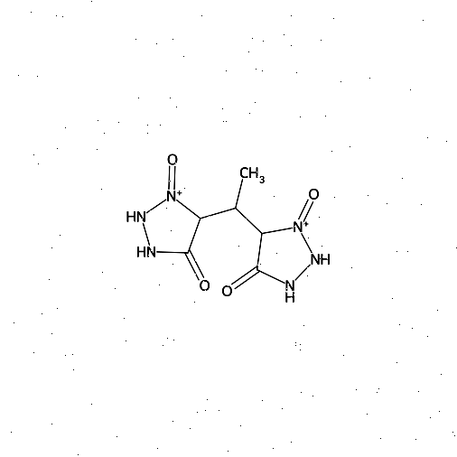 CC(C1C(=O)NN[N+]1=O)C1C(=O)NN[N+]1=O